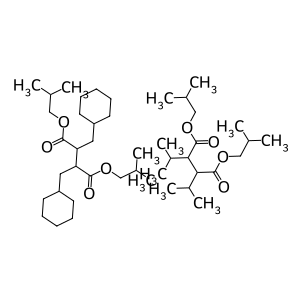 CC(C)COC(=O)C(C(C)C)C(C(=O)OCC(C)C)C(C)C.CC(C)COC(=O)C(CC1CCCCC1)C(CC1CCCCC1)C(=O)OCC(C)C